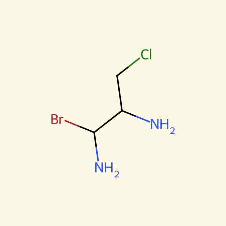 NC(Br)C(N)CCl